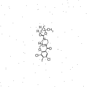 CC(C)(C)OC(=O)N1CCN2C(=O)c3cc(Cl)c(I)c(Cl)c3OC[C@@H]2C1